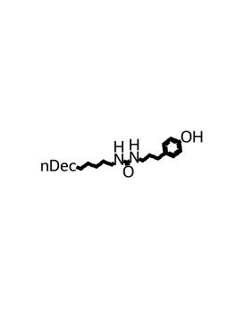 CCCCCCCCCCCCCCCNC(=O)NCCCc1ccc(O)cc1